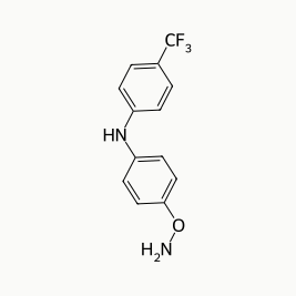 NOc1ccc(Nc2ccc(C(F)(F)F)cc2)cc1